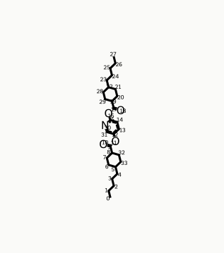 CCCCCC1CCC(C(=O)Oc2ccc(OC(=O)C3CCC(CCCCC)CC3)nc2)CC1